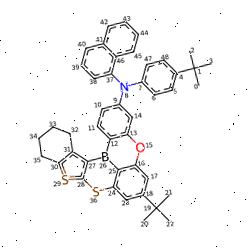 CC(C)(C)c1ccc(N(c2ccc3c(c2)Oc2cc(C(C)(C)C)cc4c2B3c2c(sc3c2CCCC3)S4)c2cccc3ccccc23)cc1